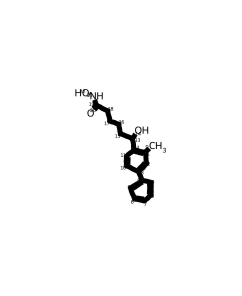 Cc1cc(-c2ccccc2)ccc1C(O)CCCCC(=O)NO